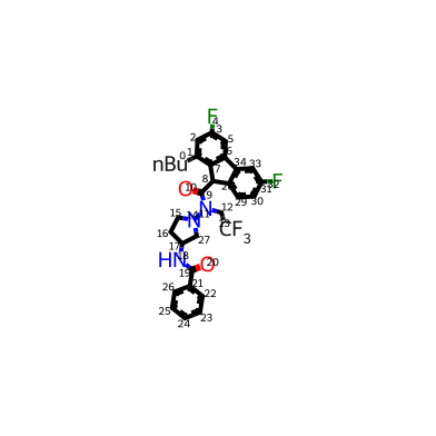 CCCCc1cc(F)cc2c1C(C(=O)N(CC(F)(F)F)N1CCC(NC(=O)c3ccccc3)C1)c1ccc(F)cc1-2